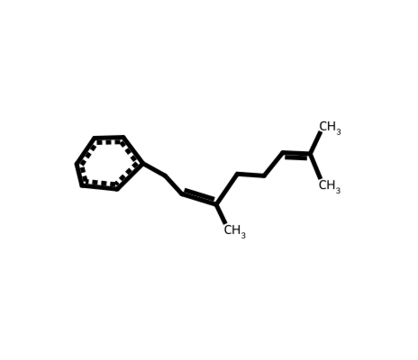 CC(C)=CCCC(C)=CCc1ccccc1